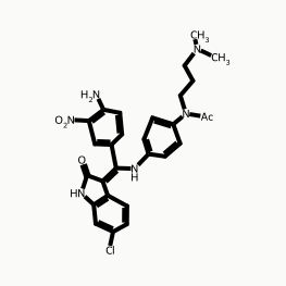 CC(=O)N(CCCN(C)C)c1ccc(NC(=C2C(=O)Nc3cc(Cl)ccc32)c2ccc(N)c([N+](=O)[O-])c2)cc1